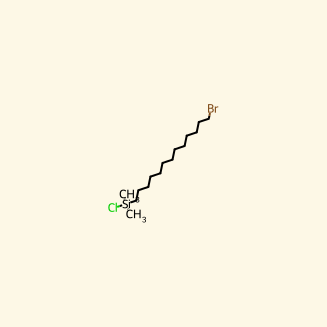 C[Si](C)(Cl)CCCCCCCCCCCCCBr